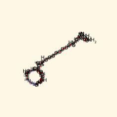 CO[C@H]1C[C@@H]2CC[C@@H](C)[C@@](O)(O2)C(=O)C(=O)N2CCCC[C@H]2C(=O)O[C@H]([C@H](C)C[C@@H]2CC[C@@H](OC(=S)NCCOCCOCCOCCOCCOCCOCCOCCOCCC(=O)NCc3ccc(Cn4nc(-c5ccc6oc(N)nc6c5)c5c(N)ncnc54)cc3)[C@H](OC)C2)C[C@@H](O)[C@H](C)/C=C(\C)[C@@H](O)[C@@H](OC)C(=O)[C@H](C)C[C@H](C)/C=C/C=C/C=C/1C